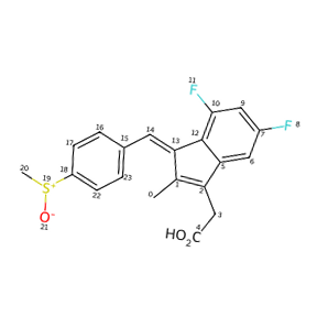 CC1=C(CC(=O)O)c2cc(F)cc(F)c2C1=Cc1ccc([S+](C)[O-])cc1